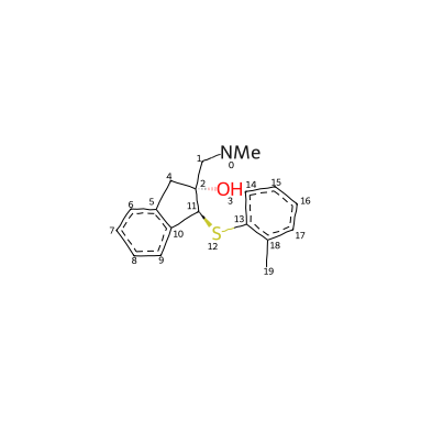 CNC[C@]1(O)Cc2ccccc2[C@@H]1Sc1ccccc1C